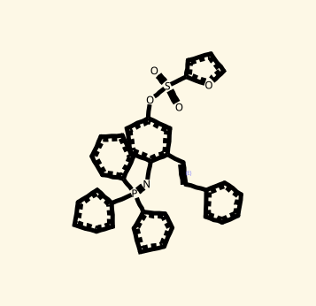 O=S(=O)(Oc1ccc(N=P(c2ccccc2)(c2ccccc2)c2ccccc2)c(/C=C/c2ccccc2)c1)c1ccco1